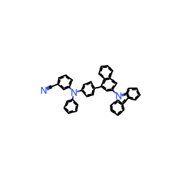 N#Cc1cccc(N(c2ccccc2)c2ccc(-c3cc(-n4c5ccccc5c5ccccc54)cc4ccccc34)cc2)c1